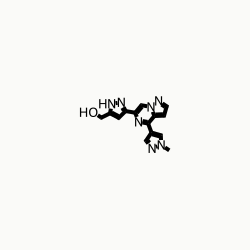 Cn1cc(-c2nc(-c3cc(CO)[nH]n3)cn3nccc23)cn1